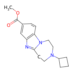 COC(=O)c1ccc2c(c1)nc1n2CCN(C2CCC2)CC1